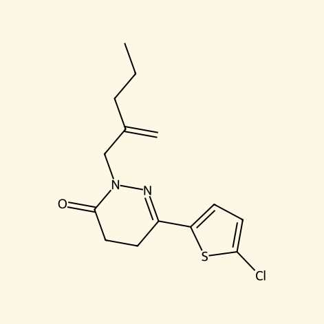 C=C(CCC)CN1N=C(c2ccc(Cl)s2)CCC1=O